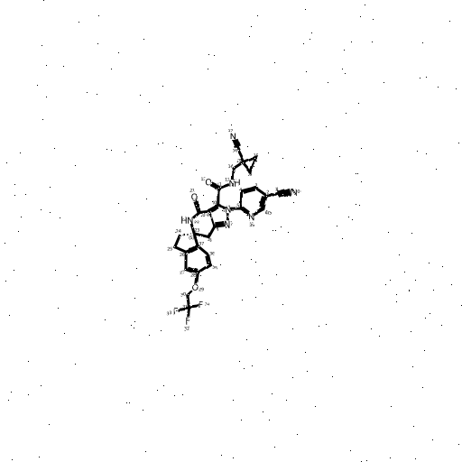 N#Cc1ccc(-n2nc3c(c2C(=O)NCC2(C#N)CC2)C(=O)N[C@@]2(CCc4cc(OCC(F)(F)F)ccc42)C3)nc1